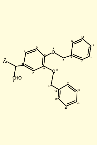 CC(=O)C(C=O)c1ccc(OCc2ccccc2)c(OCc2ccccc2)c1